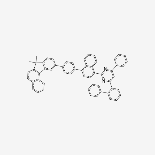 CC1(C)c2ccc(-c3ccc(-c4ccc(-c5nc(-c6ccccc6)cc(-c6ccccc6-c6ccccc6)n5)c5ccccc45)cc3)cc2-c2c1ccc1ccccc21